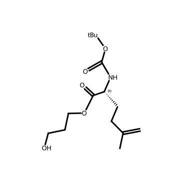 C=C(C)CC[C@@H](NC(=O)OC(C)(C)C)C(=O)OCCCO